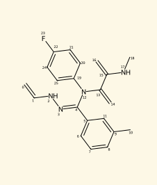 C=CN/N=C(/c1cccc(C)c1)N(C(=C)C(=C)NC)c1ccc(F)cc1